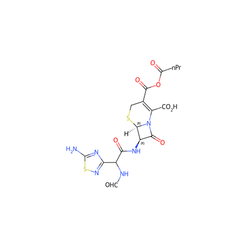 CCCC(=O)OC(=O)C1=C(C(=O)O)N2C(=O)[C@@H](NC(=O)C(NC=O)c3nsc(N)n3)[C@H]2SC1